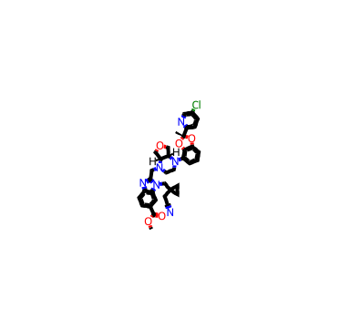 COC(=O)c1ccc2nc(CN3CCN(c4cccc5c4O[C@](C)(c4ccc(Cl)cn4)O5)[C@H]4COC[C@H]43)n(CC3(CC#N)CC3)c2c1